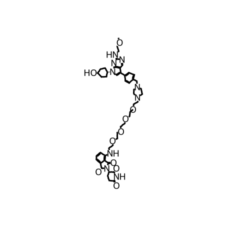 COCCNc1ncc2c(-c3ccc(CN4CCN(CCOCCOCCOCCOCCNc5cccc6c5C(=O)N(C5CCC(=O)NC5=O)C6=O)CC4)cc3)cn([C@H]3CC[C@H](O)CC3)c2n1